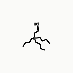 C=CC[P](CCCC)(CCCC)CCCC.Cl